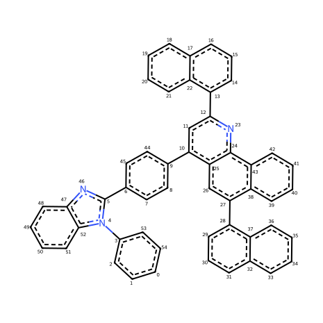 c1ccc(-n2c(-c3ccc(-c4cc(-c5cccc6ccccc56)nc5c4cc(-c4cccc6ccccc46)c4ccccc45)cc3)nc3ccccc32)cc1